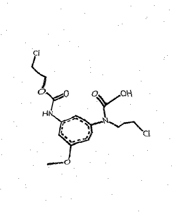 COc1cc(NC(=O)OCCCl)cc(N(CCCl)C(=O)O)c1